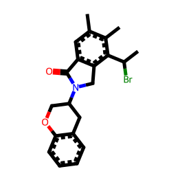 Cc1cc2c(c(C(C)Br)c1C)CN(C1COc3ccccc3C1)C2=O